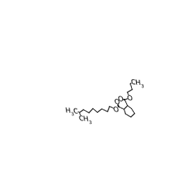 CCCCOC(=O)C1CCCCC1C(=O)OCCCCCCCC(C)C